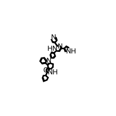 C1=CCC(C2NC3=C(O2)c2c(n(-c4ccc(C5C=C(c6cc[nH]c6)N=C(c6ccncc6)N5)cc4)c4ccccc24)CC3)CC1